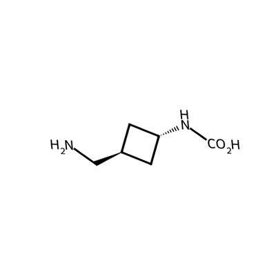 NC[C@H]1C[C@H](NC(=O)O)C1